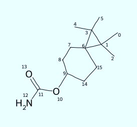 CC1(C)C(C)(C)C12CCC(OC(N)=O)CC2